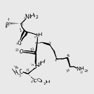 CC(C)[C@H](N)C(=O)N[C@@H](CCCCN)C(=O)N[C@@H](C)C(=O)O